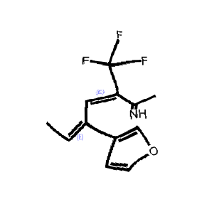 C/C=C(\C=C(/C(C)=N)C(F)(F)F)c1ccoc1